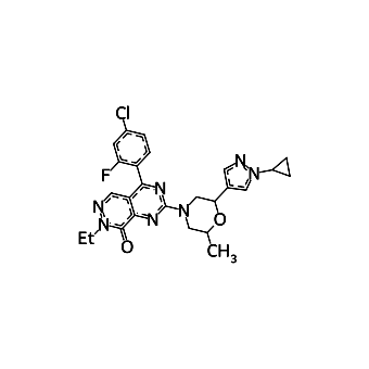 CCn1ncc2c(-c3ccc(Cl)cc3F)nc(N3CC(C)OC(c4cnn(C5CC5)c4)C3)nc2c1=O